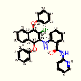 O=C(Nc1ccccn1)c1ccccc1NC1=C(Br)C(Oc2ccccc2)c2ccccc2C1Oc1ccccc1